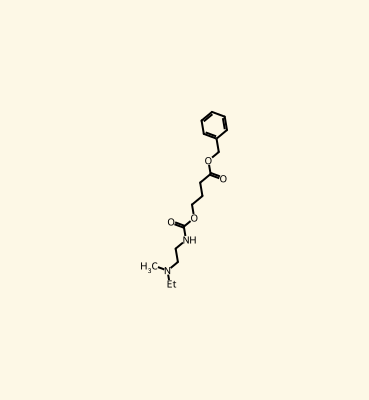 CCN(C)CCNC(=O)OCCCC(=O)OCc1ccccc1